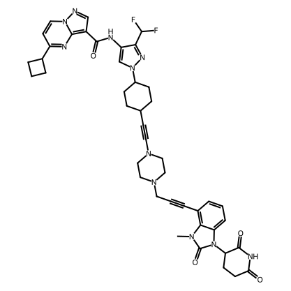 Cn1c(=O)n(C2CCC(=O)NC2=O)c2cccc(C#CCN3CCN(C#CC4CCC(n5cc(NC(=O)c6cnn7ccc(C8CCC8)nc67)c(C(F)F)n5)CC4)CC3)c21